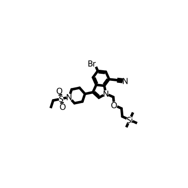 CCS(=O)(=O)N1CCC(c2cn(COCC[Si](C)(C)C)c3c(C#N)cc(Br)cc23)CC1